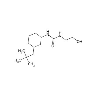 CC(C)(C)CC1CCCC(NC(=O)NCCO)C1